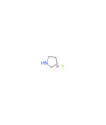 F[C@H]1[CH]CNC1